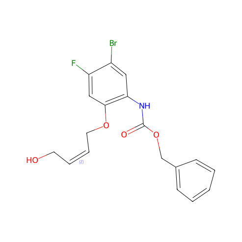 O=C(Nc1cc(Br)c(F)cc1OC/C=C\CO)OCc1ccccc1